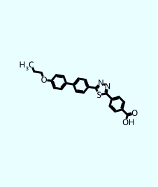 CCCOc1ccc(-c2ccc(-c3nnc(-c4ccc(C(=O)O)cc4)s3)cc2)cc1